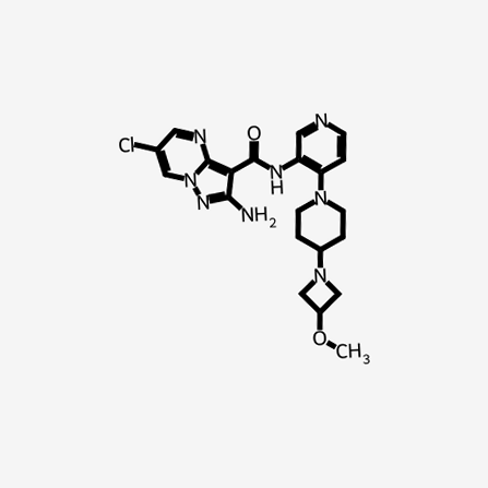 COC1CN(C2CCN(c3ccncc3NC(=O)c3c(N)nn4cc(Cl)cnc34)CC2)C1